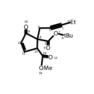 CCC#CCC1(C(=O)OC(C)(C)C)C(=O)C=CC1C(=O)OC